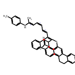 CC1=CC(/C=C/C=C\C=C(/C)Nc2ccc(C)cc2)=C2Sc3cc4c(cc3C1C2Nc1ccccc1-c1ccccc1)CCc1ccccc1-4